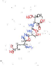 CC(O)[C@H](NC(=O)N[C@@H](CO)c1nnc([C@@H](N)CCC(=O)O)o1)C(=O)O